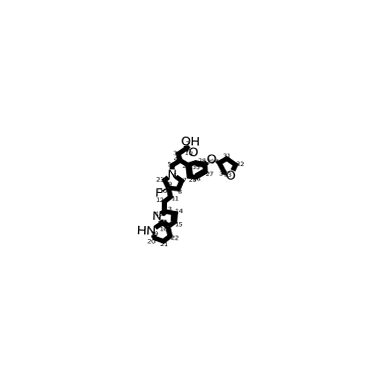 O=C(O)CC(CN1CC[C@@](F)(CCc2ccc3c(n2)NCCC3)C1)c1cccc(O[C@H]2CCOC2)c1